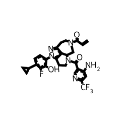 C=CC(=O)N1CCc2nn(-c3ccc(C4CC4)c(F)c3O)c3c2C(C1)N(C(=O)c1cnc(C(F)(F)F)cc1N)CC3